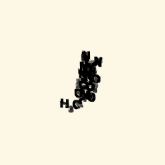 CCCCN1C(=O)c2ccc3c(=O)n4c5nc(C#N)c(C#N)nc5nc4c4ccc(c2c34)C1=O